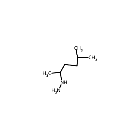 CC(C)CCC(C)NN